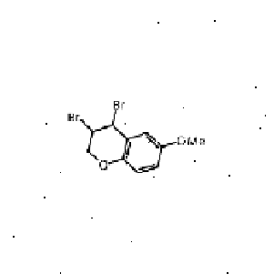 COc1ccc2c(c1)C(Br)C(Br)CO2